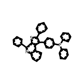 c1ccc(-c2sc3c(-c4ccccc4)nc4ccccc4c3c2-c2ccc(P(c3ccccc3)c3ccccc3)cc2)cc1